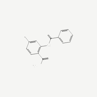 COC(=O)c1ccc(I)cc1NC(=O)c1ccccc1